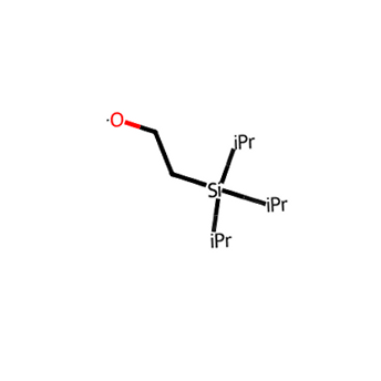 CC(C)[Si](CC[O])(C(C)C)C(C)C